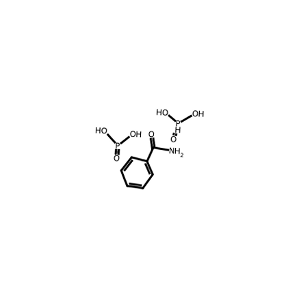 NC(=O)c1ccccc1.O=[PH](O)O.O=[PH](O)O